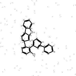 Clc1cccc(-c2ccc3c(c2)oc2ccccc23)c1-c1cccc(-c2ccccc2)c1